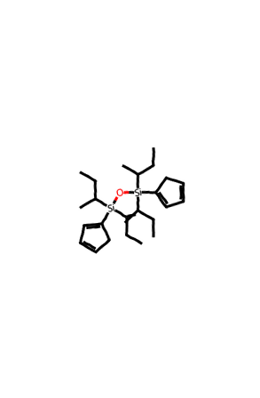 CCC(C)[Si](O[Si](C1=CC=CC1)(C(C)CC)C(C)CC)(C1=CC=CC1)C(C)CC